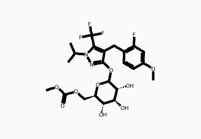 COC(=O)OC[C@H]1OC(Oc2nn(C(C)C)c(C(F)(F)F)c2Cc2ccc(OC)cc2F)[C@H](O)[C@@H](O)[C@@H]1O